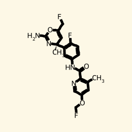 Cc1cc(OCF)cnc1C(=O)Nc1ccc(F)c([C@]2(C)C=C(CF)OC(N)=N2)c1